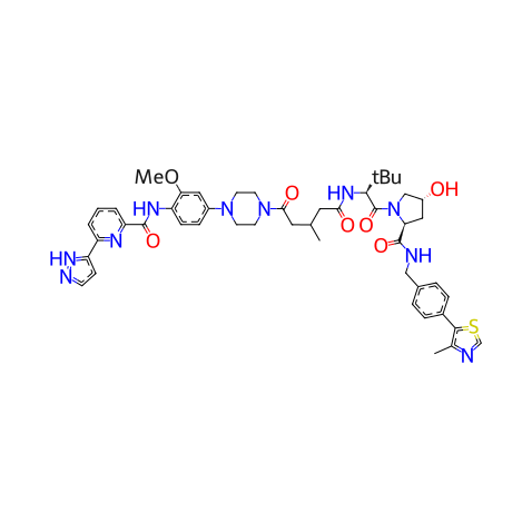 COc1cc(N2CCN(C(=O)CC(C)CC(=O)N[C@H](C(=O)N3C[C@H](O)C[C@H]3C(=O)NCc3ccc(-c4scnc4C)cc3)C(C)(C)C)CC2)ccc1NC(=O)c1cccc(-c2ccn[nH]2)n1